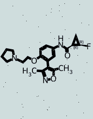 Cc1noc(C)c1-c1cc(NC(=O)[C@H]2C[C@H]2F)ccc1OCCN1CCCC1